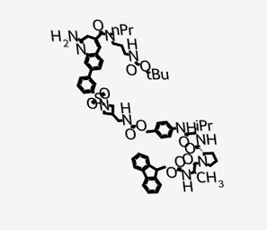 CCCN(CCCNC(=O)OC(C)(C)C)C(=O)C1=Cc2ccc(-c3cccc(S(=O)(=O)N4CC(CNC(=O)OCc5ccc(NC(=O)[C@@H](NC(=O)[C@@H]6CCCN6C(=O)[C@@H](C)NC(=O)OCC6c7ccccc7-c7ccccc76)C(C)C)cc5)C4)c3)cc2N=C(N)C1